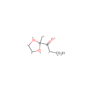 CCOC(=O)CC(=O)C1(C)OCCO1